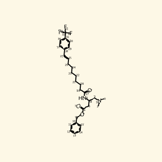 CN(C)CC(CC(=O)OCc1ccccc1)NC(=O)CCCCCCCC=Cc1ccc(C(F)(F)F)cc1